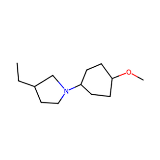 CCC1CCN(C2CCC(OC)CC2)C1